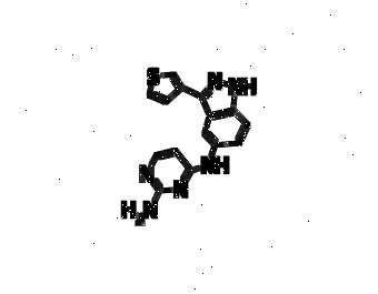 Nc1nccc(Nc2ccc3[nH]nc(-c4ccsc4)c3c2)n1